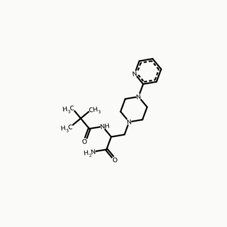 CC(C)(C)C(=O)NC(CN1CCN(c2ccccn2)CC1)C(N)=O